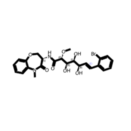 CO[C@@H](C(=O)N[C@H]1COc2ccccc2N(C)C1=O)[C@H](O)[C@@H](O)[C@H](O)/C=C/c1ccccc1Br